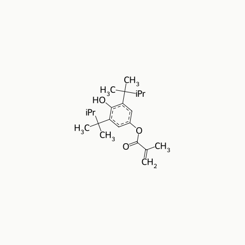 C=C(C)C(=O)Oc1cc(C(C)(C)C(C)C)c(O)c(C(C)(C)C(C)C)c1